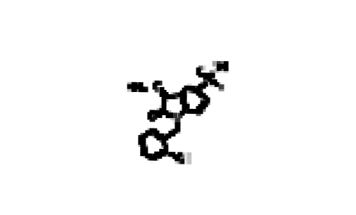 O=C1C(=O)N(Cc2ccccc2O)c2ccc(S(=O)(=O)O)cc21.[NaH]